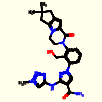 Cn1cc(Nc2nn(-c3cccc(N4CCn5c(cc6c5CC(C)(C)C6)C4=O)c3CO)cc2C(N)=O)nn1